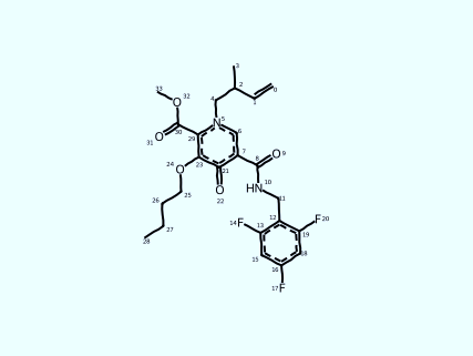 C=CC(C)Cn1cc(C(=O)NCc2c(F)cc(F)cc2F)c(=O)c(OCCCC)c1C(=O)OC